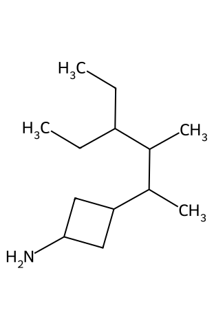 CCC(CC)C(C)C(C)C1CC(N)C1